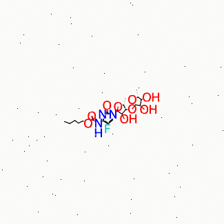 CCCCCOC(=O)Nc1nc(=O)n([C@@H]2O[C@H](C)C(O[C@H]3O[C@H](C)[C@@H](O)[C@H]3O)[C@H]2O)cc1F